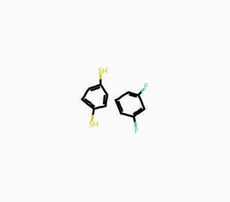 Fc1cccc(F)c1.Sc1ccc(S)cc1